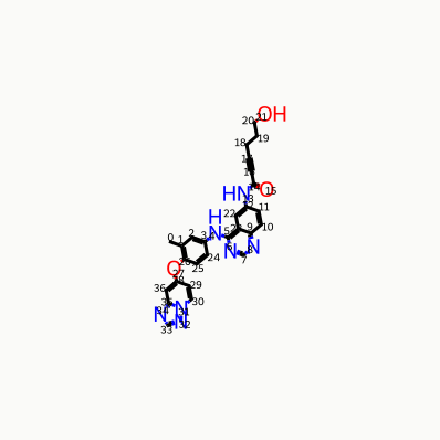 Cc1cc(Nc2ncnc3ccc(NC(=O)C#CCCCO)cc23)ccc1Oc1ccn2ncnc2c1